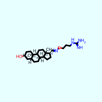 C[C@]12CC[C@H](O)C[C@H]1CC[C@@H]1[C@@H]2CC[C@]2(C)[C@@H](/C=N/OCCCNC(=N)N)CC[C@@H]12